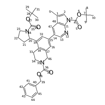 Cc1cn(C(=O)OC(C)(C)C)c2ncc(-c3cc4c(c(C5CCCN5C(=O)OC(C)(C)C)c3)CCN(C(=O)OCc3ccccc3)C4)cc12